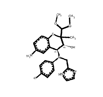 COC(OC)C1(C)Oc2ccc(N)cc2[C@H](N(Cc2ncc[nH]2)c2ccc(Cl)cc2)[C@H]1O